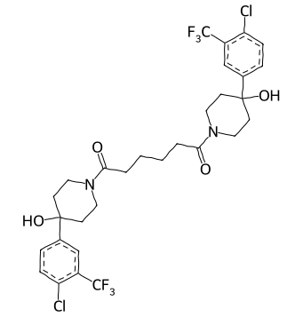 O=C(CCCCC(=O)N1CCC(O)(c2ccc(Cl)c(C(F)(F)F)c2)CC1)N1CCC(O)(c2ccc(Cl)c(C(F)(F)F)c2)CC1